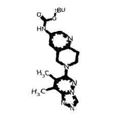 Cc1c(N2CCc3ncc(NC(=O)OC(C)(C)C)cc3C2)nn2cnnc2c1C